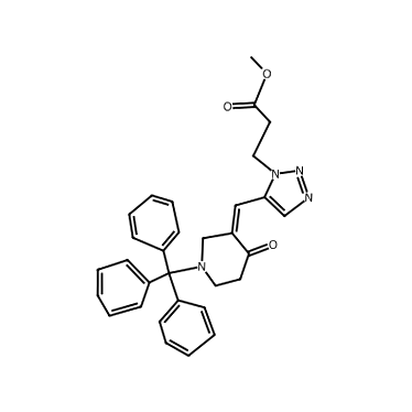 COC(=O)CCn1nncc1/C=C1/CN(C(c2ccccc2)(c2ccccc2)c2ccccc2)CCC1=O